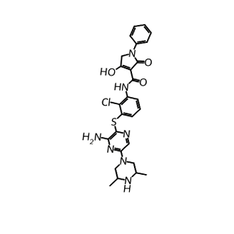 CC1CN(c2cnc(Sc3cccc(NC(=O)C4=C(O)CN(c5ccccc5)C4=O)c3Cl)c(N)n2)CC(C)N1